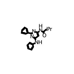 CC(C)C(=O)Nc1cc(Nc2ccccc2)nc(-c2ccccc2)n1